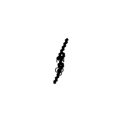 CCCCCCCCC1CCc2nc(-c3ccc(OC(=O)OCCCCCC)cc3)ncc2C1